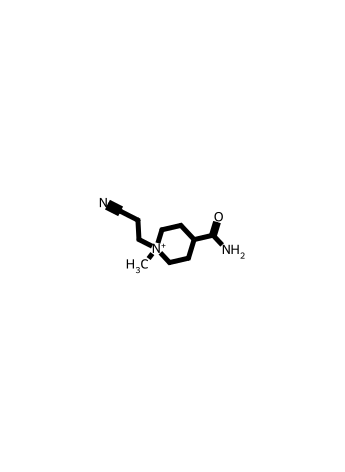 C[N+]1(CCC#N)CCC(C(N)=O)CC1